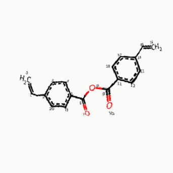 C=Cc1ccc(C(=O)OC(=O)c2ccc(C=C)cc2)cc1